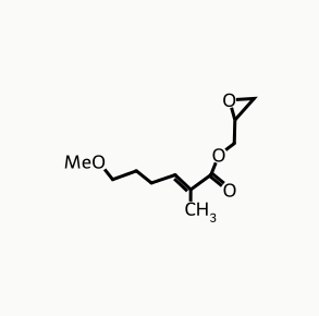 COCCCC=C(C)C(=O)OCC1CO1